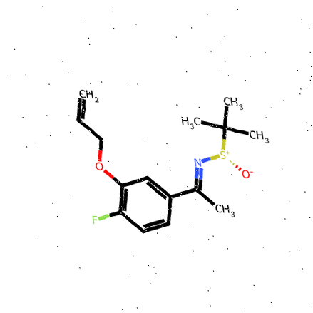 C=CCOc1cc(C(C)=N[S@@+]([O-])C(C)(C)C)ccc1F